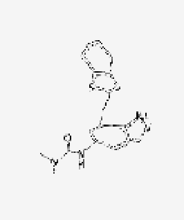 CN(C)C(=O)Nc1cc(-c2cc3ccccc3s2)c2[nH]ncc2c1